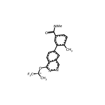 CNC(=O)c1ccc(C)c(-c2ccc3c(O[C@@H](C)C(F)(F)F)nncc3c2)c1